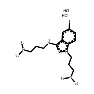 CCN(CC)CCCNc1nn(CCCN(CC)CC)c2ccc(I)cc12.Cl.Cl